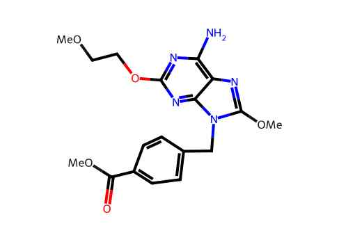 COCCOc1nc(N)c2nc(OC)n(Cc3ccc(C(=O)OC)cc3)c2n1